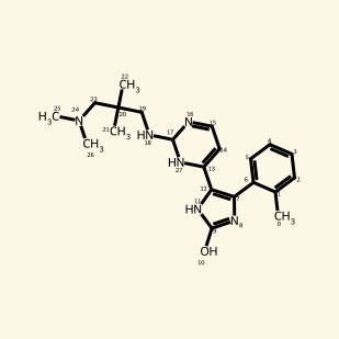 Cc1ccccc1-c1nc(O)[nH]c1C1=CC=NC(NCC(C)(C)CN(C)C)N1